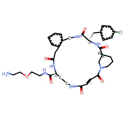 NCCOCCNC(=O)[C@@H]1CCNC(=O)/C=C/C(=O)N2CCC[C@H](C2)C(=O)N[C@@H](Cc2ccc(Cl)cc2)C(=O)NCc2ccccc2CC(=O)N1